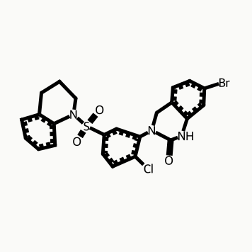 O=C1Nc2cc(Br)ccc2CN1c1cc(S(=O)(=O)N2CCCc3ccccc32)ccc1Cl